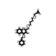 Cc1c(COCCCCOCC2CC2)nc2ccccc2c1OCc1ccccc1